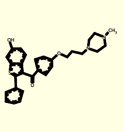 CN1CCN(CCCOc2ccc(C(=O)c3c(-c4ccccc4)sc4cc(O)ccc34)cc2)CC1